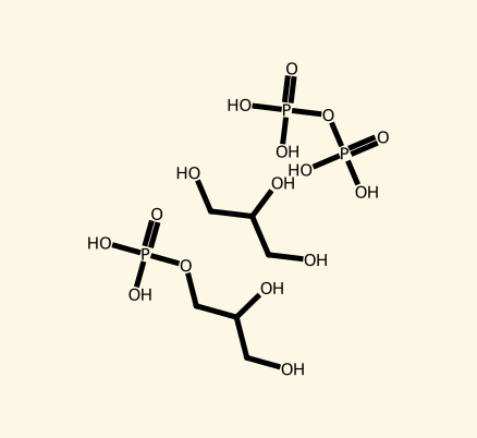 O=P(O)(O)OCC(O)CO.O=P(O)(O)OP(=O)(O)O.OCC(O)CO